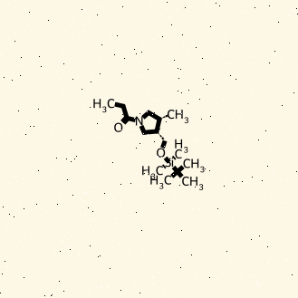 CCC(=O)N1C[C@@H](CO[Si](C)(C)C(C)(C)C)[C@@H](C)C1